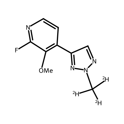 [2H]C([2H])([2H])n1ncc(-c2ccnc(F)c2OC)n1